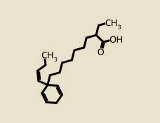 CC/C=C\C1(CCCCCCCC(CC)C(=O)O)C=CCC=C1